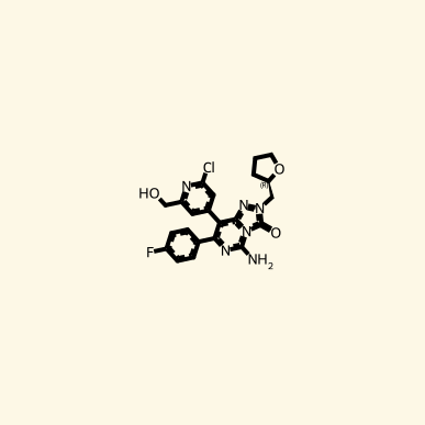 Nc1nc(-c2ccc(F)cc2)c(-c2cc(Cl)nc(CO)c2)c2nn(C[C@H]3CCCO3)c(=O)n12